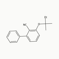 CCC(C)(C)Oc1cccc(-c2ccccc2)c1C#N